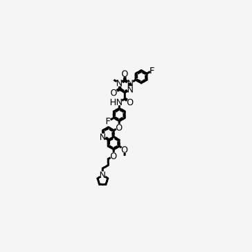 COc1cc2c(Oc3ccc(NC(=O)c4nn(-c5ccc(F)cc5)c(=O)n(C)c4=O)cc3F)ccnc2cc1OCCCN1CCCC1